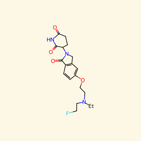 CCN(CCF)CCOc1ccc2c(c1)CN(C1CCC(=O)NC1=O)C2=O